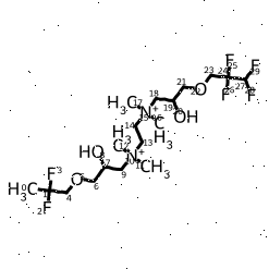 CC(F)(F)COCC(O)C[N+](C)(C)CC[N+](C)(C)CC(O)COCC(F)(F)C(F)F